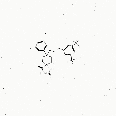 C[C@@H](OCC1(c2ccccc2)CCC2(CC1)NC(=O)NC2=O)c1cc(C(F)(F)F)cc(C(F)(F)F)c1